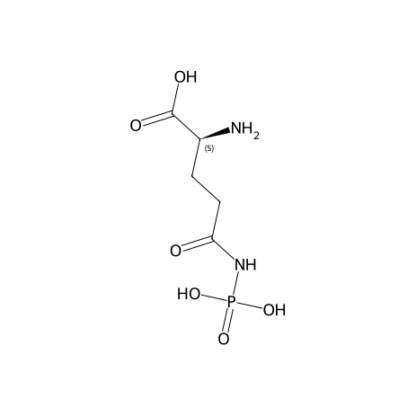 N[C@@H](CCC(=O)NP(=O)(O)O)C(=O)O